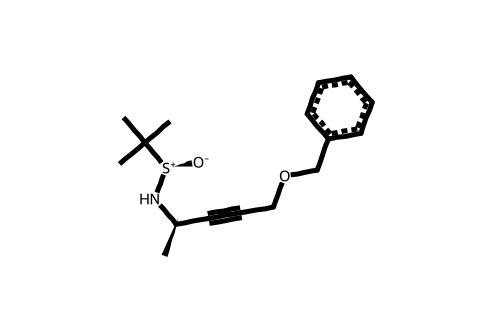 C[C@H](C#CCOCc1ccccc1)N[S@+]([O-])C(C)(C)C